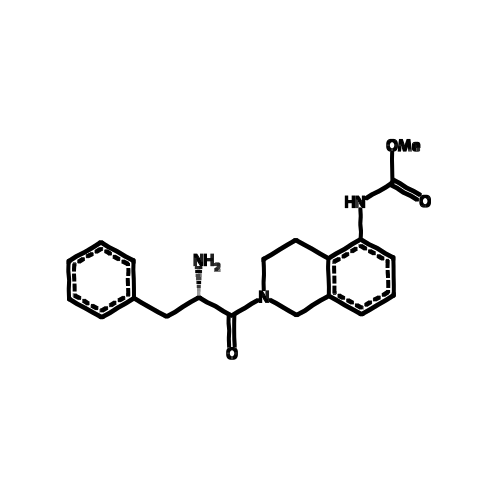 COC(=O)Nc1cccc2c1CCN(C(=O)[C@@H](N)Cc1ccccc1)C2